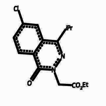 CCOC(=O)Cn1nc(C(C)C)c2cc(Cl)ccc2c1=O